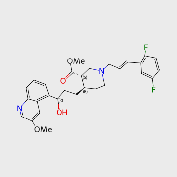 COC(=O)[C@@H]1CN(CC=Cc2cc(F)ccc2F)CC[C@H]1CC[C@@H](O)c1cccc2ncc(OC)cc12